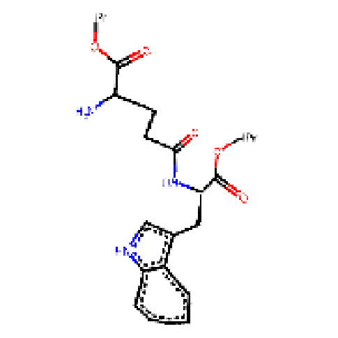 CC(C)OC(=O)C(N)CCC(=O)N[C@H](Cc1c[nH]c2ccccc12)C(=O)OC(C)C